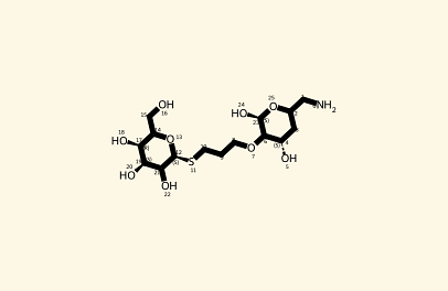 NCC1C[C@H](O)C(OCCCS[C@@H]2OC(CO)[C@H](O)[C@H](O)C2O)[C@@H](O)O1